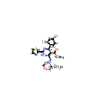 COC(=O)C1=C(CN2CCOC[C@H]2C(=O)O)NC(c2nccs2)=NC1c1ccc(Cl)cc1Cl